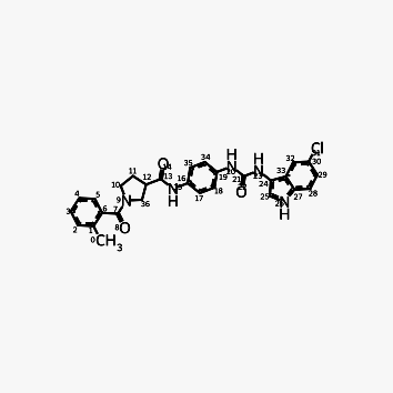 Cc1ccccc1C(=O)N1CCC(C(=O)Nc2ccc(NC(=O)Nc3c[nH]c4ccc(Cl)cc34)cc2)C1